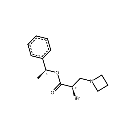 CC(C)[C@H](CN1CCC1)C(=O)O[C@@H](C)c1ccccc1